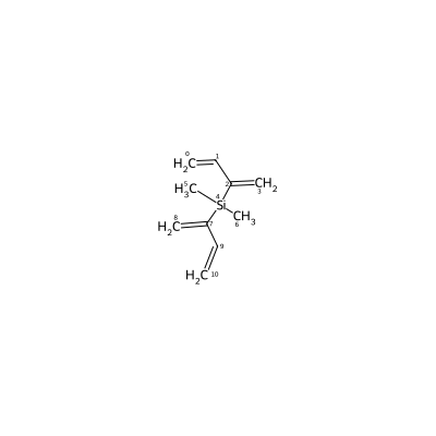 C=CC(=C)[Si](C)(C)C(=C)C=C